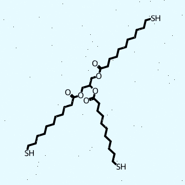 O=C(CCCCCCCCCCS)OCC(COC(=O)CCCCCCCCCCS)OC(=O)CCCCCCCCCCS